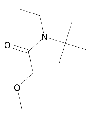 CCN(C(=O)COC)C(C)(C)C